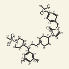 CS(=O)(=O)c1ccc(Cn2ccn(C3CCN(CC[C@@H](c4cc(F)cc(F)c4)C4CCN(S(C)(=O)=O)CC4)CC3)c2=O)cc1